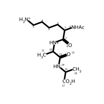 CC(=O)NC(CCCCN)C(=O)NC(C)C(=O)NC(C)C(=O)O